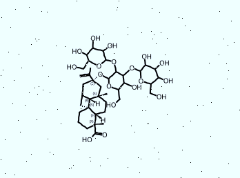 C=C(C)[C@]1(OC2OC(CO)C(O)C(OC3OC(CO)C(O)C(O)C3O)C2OC2OC(CO)C(O)C(O)C2O)CC2C[C@@]34CCC[C@@](C)(C(=O)O)[C@H]3CC[C@@](C)(C1)[C@@H]24